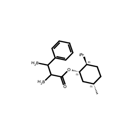 BC(C(=O)O[C@H]1C[C@@H](C)CC[C@@H]1C(C)C)C(B)c1ccccc1